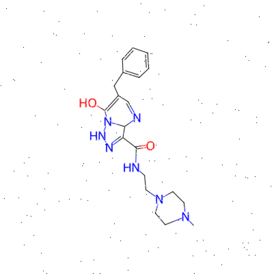 CN1CCN(CCNC(=O)C2=NNN3C(O)=C(Cc4ccccc4)C=NC23)CC1